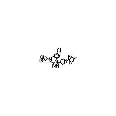 Cc1cnc(N2CCC(c3nnc4n3-c3ccc(Cl)cc3CN(C3CS(=O)(=O)C3)C4)CC2)nc1